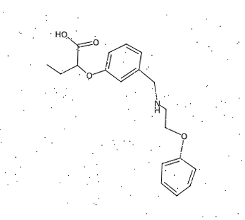 CCC(Oc1cccc(CNCCOc2ccccc2)c1)C(=O)O